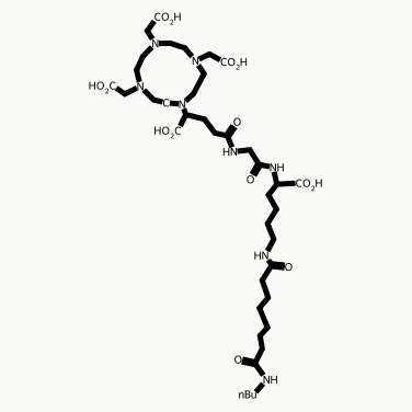 CCCCNC(=O)CCCCCCC(=O)NCCCCC(NC(=O)CNC(=O)CCC(C(=O)O)N1CCN(CC(=O)O)CCN(CC(=O)O)CCN(CC(=O)O)CC1)C(=O)O